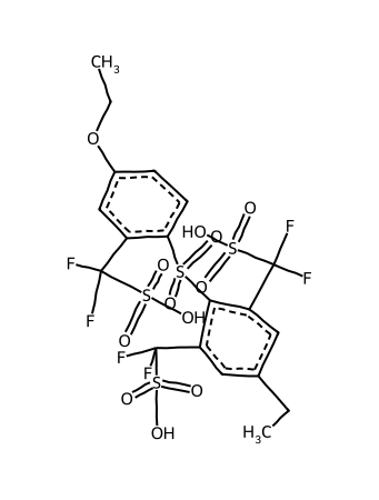 CCOc1ccc(S(=O)(=O)c2c(C(F)(F)S(=O)(=O)O)cc(CC)cc2C(F)(F)S(=O)(=O)O)c(C(F)(F)S(=O)(=O)O)c1